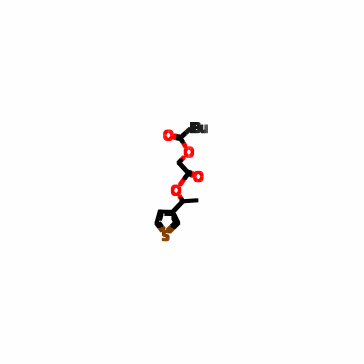 CCC(C)C(=O)OCC(=O)OC(C)c1ccsc1